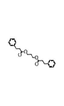 O=C(CCc1ccccc1)OCCCOC(=O)CCc1ccccc1